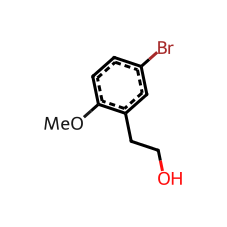 COc1ccc(Br)cc1CCO